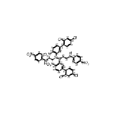 O=[N+]([O-])c1ccc(NCCN(c2nc(-c3ccc(Cl)cc3Cl)ccc2[N+](=O)[O-])N(CCNc2ccc([N+](=O)[O-])cn2)c2nc(-c3ccc(Cl)cc3Cl)ccc2[N+](=O)[O-])nc1